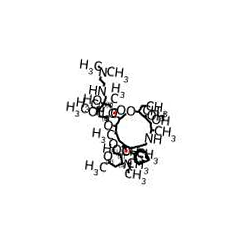 CCC1OC(=O)C(C)C(O[C@H]2C[C@@](C)(OC)[C@](O)(CNCCN(C)C)[C@H](C)O2)C(C)C(O[C@@H]2O[C@H](C)C[C@H](N(C)C)[C@H]2Oc2ccccc2)C(C)(O)CC(C)CNC(C)C(O)C1(C)O